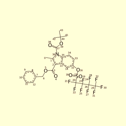 Cc1c(C(=O)OCc2ccccc2)c2cc(OS(=O)(=O)C(F)(F)C(F)(F)C(F)(F)C(F)(F)F)ccc2n1C(=O)OC(C)(C)C